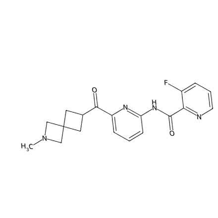 CN1CC2(CC(C(=O)c3cccc(NC(=O)c4ncccc4F)n3)C2)C1